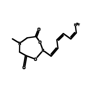 CCC\C=C/C=C\C=C/B1OC(=O)CN(C)CC(=O)O1